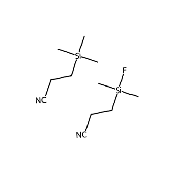 C[Si](C)(C)CCC#N.C[Si](C)(F)CCC#N